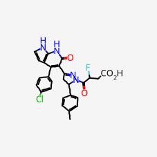 Cc1ccc(C2CC(c3c(-c4ccc(Cl)cc4)c4cc[nH]c4[nH]c3=O)=NN2C(=O)C(F)CC(=O)O)cc1